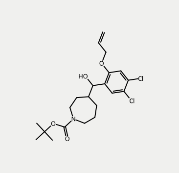 C=CCOc1cc(Cl)c(Cl)cc1C(O)C1CCCN(C(=O)OC(C)(C)C)CC1